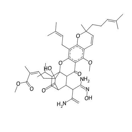 C=C(N)C(/C(N)=N\O)C1C2CC(C(C)C)C3(Oc4c(CC=C(C)C)c5c(c(OC)c4C(=O)C13)C=CC(C)(CCC=C(C)C)O5)C(O)(C/C=C(/C)C(=O)OC)C2=O